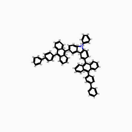 c1ccc(-c2ccc(-c3c4ccccc4c(-c4ccc5c(c4)c4cc(-c6c7ccccc7c(-c7ccc(-c8ccccc8)cc7)c7ccccc67)ccc4n5-c4ccccc4)c4ccccc34)cc2)cc1